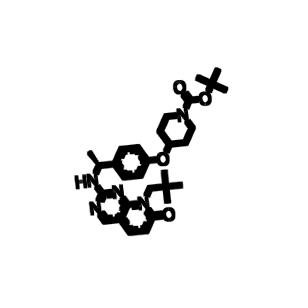 C[C@H](Nc1ncc2ccc(=O)n(CC(C)(C)C)c2n1)c1ccc(OC2CCN(C(=O)OC(C)(C)C)CC2)cc1